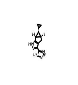 C1CC1[C@@H]1[C@@H]2Cc3c(-c4nnn[nH]4)n[nH]c3[C@@H]21